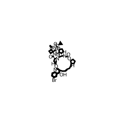 C=C[C@@H]1CC[C@]1(NC(=O)[C@@H]1C[C@@H]2CN1C(=O)[C@H](C1CCCC1)NC(=O)OC1CCC[C@H]1CC/C=C/Cc1c(nc3ccc(Br)cc3c1O)O2)C(=O)NS(=O)(=O)C1CC1